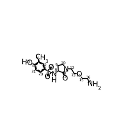 Cc1cc(S(=O)(=O)N[C@H]2CCN(CCOCCN)C2=O)ccc1O